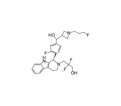 C[C@@H]1Cc2c([nH]c3ccccc23)[C@@H](c2ccc(C(O)C3CN(CCCF)C3)cc2F)N1CC(F)(F)CO